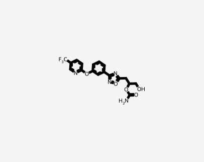 NC(=O)OC(CO)Cc1nc(-c2cccc(Oc3ccc(C(F)(F)F)cn3)c2)no1